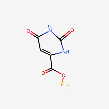 O=C(OP)c1cc(=O)[nH]c(=O)[nH]1